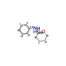 c1ccc(N[SiH]2CCCCO2)cc1